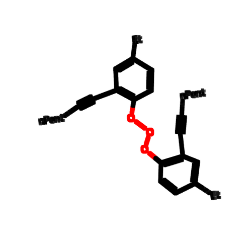 CCCCCC#Cc1cc(CC)ccc1OOOc1ccc(CC)cc1C#CCCCCC